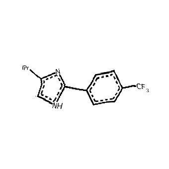 CC(C)c1[c][nH]c(-c2ccc(C(F)(F)F)cc2)n1